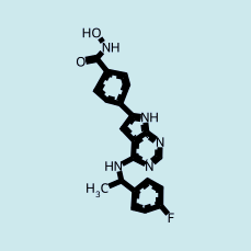 CC(Nc1ncnc2[nH]c(-c3ccc(C(=O)NO)cc3)cc12)c1ccc(F)cc1